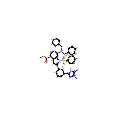 COC(=O)c1cnc(N(Cc2ccccc2)Cc2ccccc2)c2c1cc(-c1cccc(-c3nc(C)n(C)n3)c1)n2S(=O)(=O)c1ccccc1